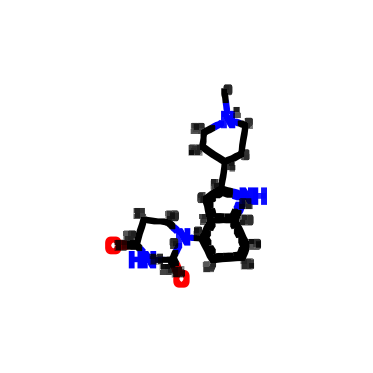 CN1CCC(c2cc3c(N4CCC(=O)NC4=O)cccc3[nH]2)CC1